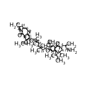 C=C(CN)CN1CC(C)N(C(C)CC)c2cc(OCCC(C)(C)CCC(C)(C)COc3cc4c(cc3OC)C(=O)N3CC(=C)CC3C=N4)c(OC)cc2C1=O